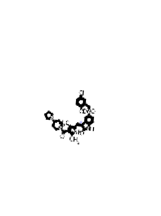 Cc1[nH]c(/C=C2\C(=O)Nc3ccc(S(=O)(=O)Cc4cc(Cl)ccc4Cl)cc32)c(C)c1C(=O)N1CCC(N2CCCC2)CC1